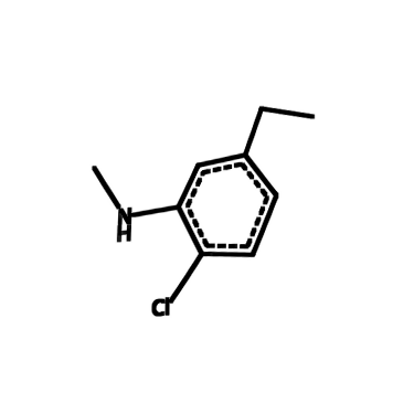 CCc1ccc(Cl)c(NC)c1